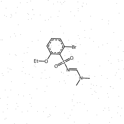 CCOc1cccc(Br)c1S(=O)(=O)N=CN(C)C